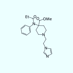 CCC(=O)N(c1ccccc1)C1(C(=O)OC)CCN(CCn2ccnc2)CC1